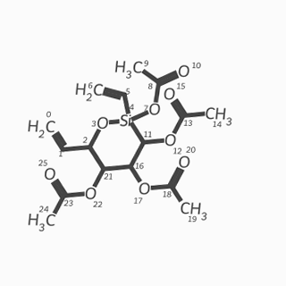 C=CC1O[Si](C=C)(OC(C)=O)C(OC(C)=O)C(OC(C)=O)C1OC(C)=O